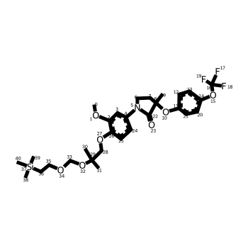 COc1cc(N2CCC(C)(Oc3ccc(OC(F)(F)F)cc3)C2=O)ccc1OCC(C)(C)OCOCC[Si](C)(C)C